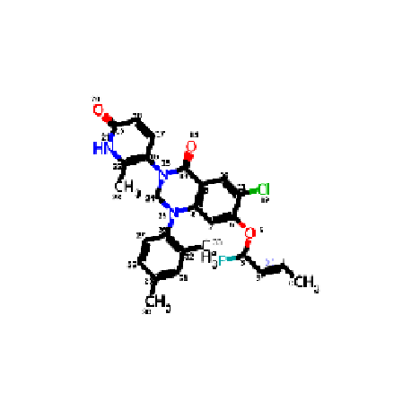 C/C=C/C(F)Oc1cc2c(cc1Cl)C(=O)N(c1ccc(=O)[nH]c1C)CN2c1ccc(C)cc1C